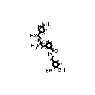 CCOc1cc(CCNC(=O)c2cccc(CC(C)(C)NC[C@@H](O)c3ccc(N)nc3)c2)ccc1O